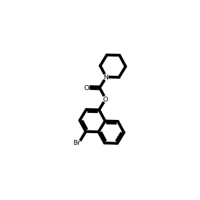 O=C(Oc1ccc(Br)c2ccccc12)N1CCCCC1